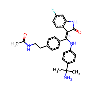 CC(=O)NCCc1ccc(/C(Nc2ccc(C(C)(C)N)cc2)=C2/C(=O)Nc3cc(F)ccc32)cc1